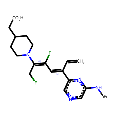 C=C/C(=C\C(F)=C(/CF)N1CCC(CC(=O)O)CC1)c1cncc(NC(C)C)n1